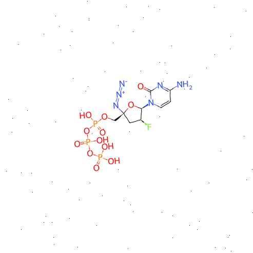 [N-]=[N+]=N[C@@]1(COP(=O)(O)OP(=O)(O)OP(=O)(O)O)C[C@H](F)[C@H](n2ccc(N)nc2=O)O1